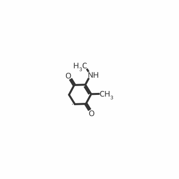 CNC1=C(C)C(=O)[CH]CC1=O